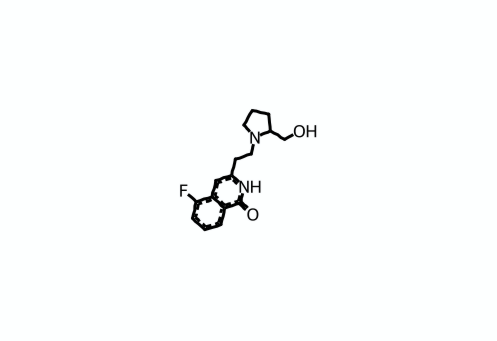 O=c1[nH]c(CCN2CCCC2CO)cc2c(F)cccc12